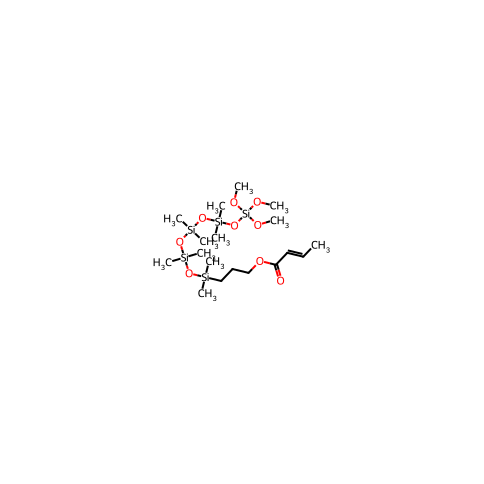 CC=CC(=O)OCCC[Si](C)(C)O[Si](C)(C)O[Si](C)(C)O[Si](C)(C)O[Si](OC)(OC)OC